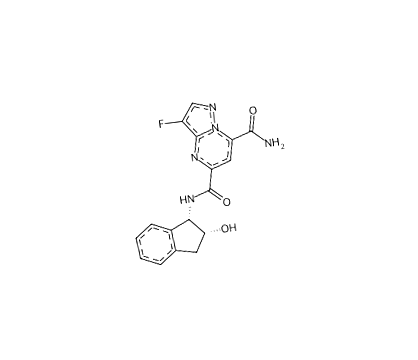 NC(=O)c1cc(C(=O)N[C@H]2c3ccccc3C[C@H]2O)nc2c(F)cnn12